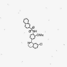 COc1cc(C2=NCCc3ccc(Cl)cc32)ccc1NS(=O)(=O)c1ccc2ccccc2c1